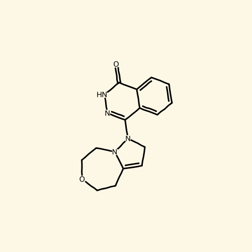 O=c1[nH]nc(N2CC=C3CCOCCN32)c2ccccc12